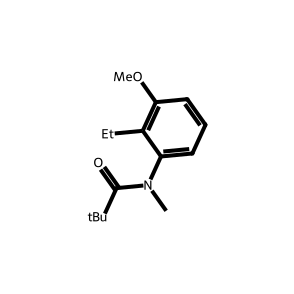 CCc1c(OC)cccc1N(C)C(=O)C(C)(C)C